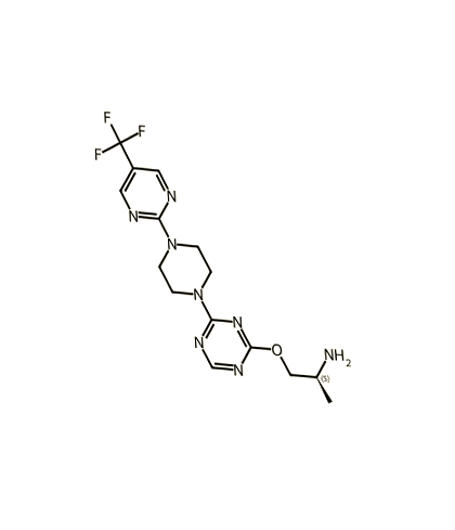 C[C@H](N)COc1ncnc(N2CCN(c3ncc(C(F)(F)F)cn3)CC2)n1